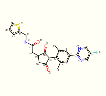 Cc1cc(-c2ncc(F)cn2)cc(C)c1C1C(=O)CC(CC(=O)NCc2cccs2)C1=O